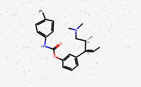 C/C=C(/c1cccc(OC(=O)Nc2ccc(C(C)C)cc2)c1)[C@@H](C)CN(C)C